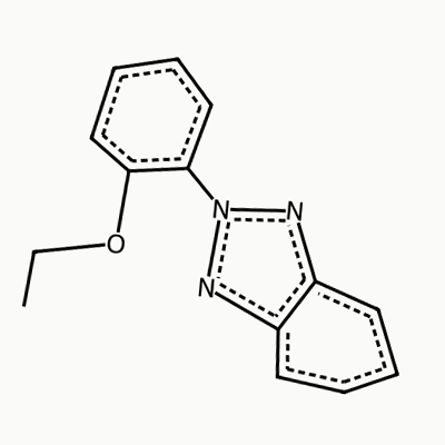 CCOc1ccccc1-n1nc2ccccc2n1